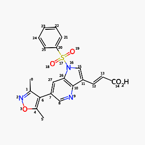 Cc1noc(C)c1-c1cnc2c(C=CC(=O)O)cn(S(=O)(=O)c3ccccc3)c2c1